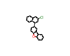 Clc1cc(-c2ccc3oc4ccccc4c3c2)c2ccccc2c1